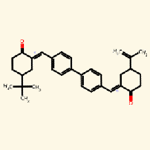 C=C(C)C1CCC(=O)/C(=C/c2ccc(-c3ccc(/C=C4\CC(C(C)(C)C)CCC4=O)cc3)cc2)C1